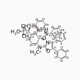 CN(c1nc(-c2ccccc2)c(-c2ccccc2)o1)C1CCc2c(cccc2C(C)(C)C)C1O[SiH](c1ccccc1)c1ccccc1